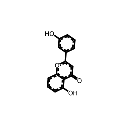 O=c1cc(-c2cccc(O)c2)oc2cccc(O)c12